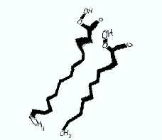 CCCCCCCCCC(=O)OO.CCCCCCCCCCCC(=O)OO